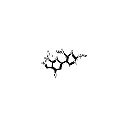 COc1ncc(-c2cc(Cl)c3cnn(C)c3n2)c(OC)n1